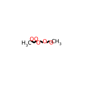 COCCOCCOC(=O)CC(C)=O